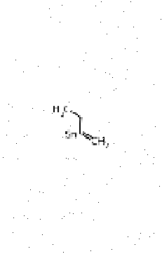 C=CCC.[Sn]